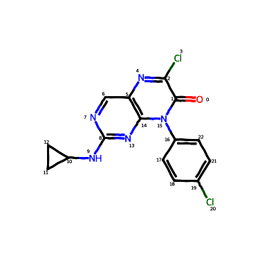 O=c1c(Cl)nc2cnc(NC3CC3)nc2n1-c1ccc(Cl)cc1